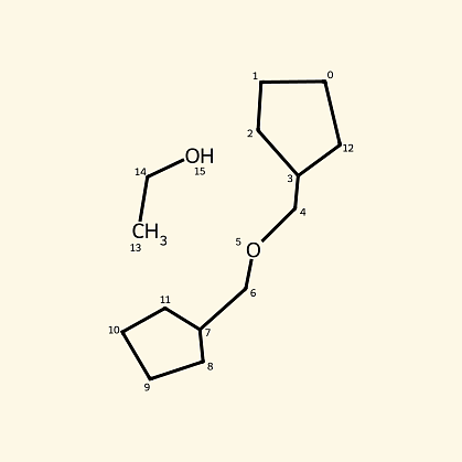 C1CCC(COCC2CCCC2)C1.CCO